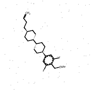 C=CCC[C@H]1CC[C@H]([C@H]2CC[C@H](c3cc(F)c(COC)c(F)c3)CC2)CC1